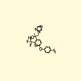 CSc1ccc(Oc2ccc(C(C)(O)Cn3cncn3)c(C(F)(F)F)n2)cc1